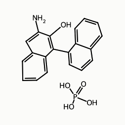 Nc1cc2ccccc2c(-c2cccc3ccccc23)c1O.O=P(O)(O)O